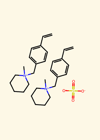 C=Cc1ccc(C[N+]2(C)CCCCC2)cc1.C=Cc1ccc(C[N+]2(C)CCCCC2)cc1.O=S(=O)([O-])[O-]